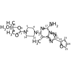 Cc1c(N2CCN(C(=O)OC(C)(C)C)CC2)nc(N)n2nc(-c3ccco3)nc12